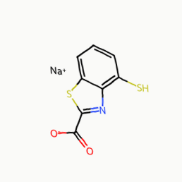 O=C([O-])c1nc2c(S)cccc2s1.[Na+]